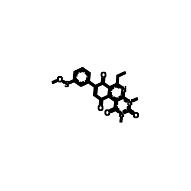 CCc1nc2c(c3c1C(=O)C(c1cccc(SOC)c1)=CC3=O)c(=O)n(C)c(=O)n2C